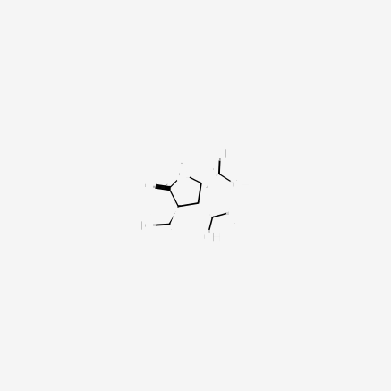 CC(C)[C@H]1[C@@H](C(C)C)OC(=O)[C@@H]1CO